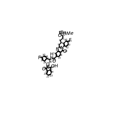 COC(CCCCc1nc2cc(C(=O)N[C@@H](CON3C(=O)c4ccccc4C3O)c3ccc(F)cc3)ccc2c(=O)n1-c1ccc(F)cc1)OC(C)(C)C